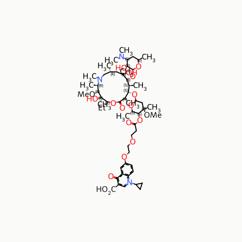 CC[C@H]1OC(=O)[C@H](C)[C@@H](OC2C[C@@](C)(OC)[C@@H](OC(=O)CCOCCOc3ccc4c(c3)c(=O)c(C(=O)O)cn4C3CC3)[C@H](C)O2)[C@H](C)[C@@H](OC2O[C@H](C)C[C@H](N(C)C)[C@H]2O)[C@](C)(O)C[C@@H](C)CN(C)[C@H](C)[C@@H](OC)[C@]1(C)O